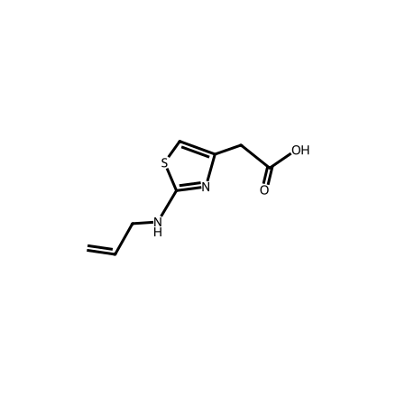 C=CCNc1nc(CC(=O)O)cs1